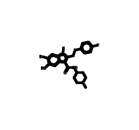 CN1CCC(NC(=O)c2c(CSc3ccc(F)cc3)n(C)c3cc(Br)c(O)cc23)CC1